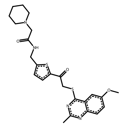 COc1ccc2nc(C)nc(SCC(=O)c3ccc(CNC(=O)CN4CCCCC4)s3)c2c1